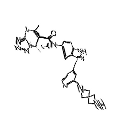 CC1=C(C(=O)Nc2ccc3[nH]nc(-c4ccnc(N5CC6(CNC6)C5)c4)c3c2)[C@H](C)n2nnnc2N1C